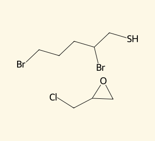 ClCC1CO1.SCC(Br)CCCBr